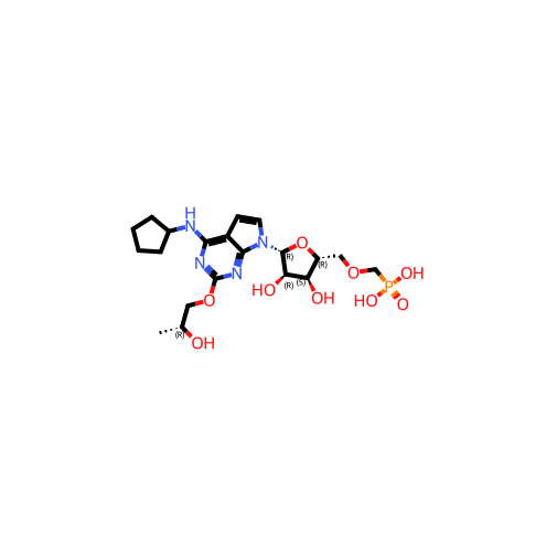 C[C@@H](O)COc1nc(NC2CCCC2)c2ccn([C@@H]3O[C@H](COCP(=O)(O)O)[C@@H](O)[C@H]3O)c2n1